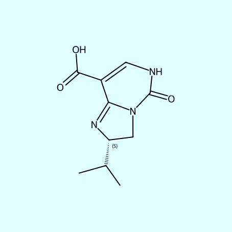 CC(C)[C@H]1CN2C(=O)NC=C(C(=O)O)C2=N1